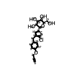 C#CCOc1ccc(Cc2cc([C@@H]3O[C@H](CO)[C@@H](O)[C@H](O)[C@H]3O)sc2Cl)cc1